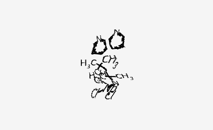 CC(C)(C)CC(C)(C)[N]=[Nb]([Cl])([Cl])[Cl].c1ccncc1.c1ccncc1